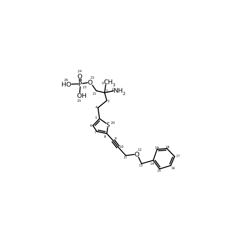 CC(N)(CCc1ccc(C#CCOCc2ccccc2)s1)COP(=O)(O)O